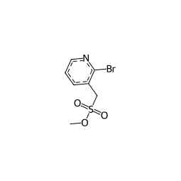 COS(=O)(=O)Cc1cccnc1Br